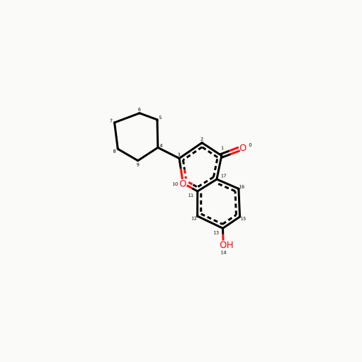 O=c1cc(C2CCCCC2)oc2cc(O)ccc12